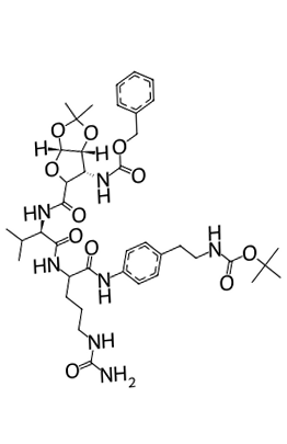 CC(C)[C@@H](NC(=O)C1O[C@@H]2OC(C)(C)O[C@@H]2[C@@H]1NC(=O)OCc1ccccc1)C(=O)NC(CCCNC(N)=O)C(=O)Nc1ccc(CCNC(=O)OC(C)(C)C)cc1